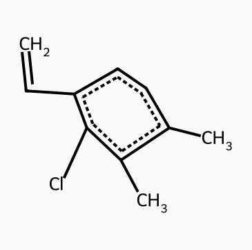 C=Cc1ccc(C)c(C)c1Cl